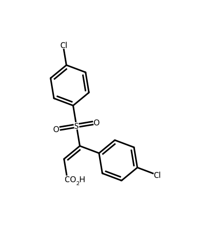 O=C(O)/C=C(\c1ccc(Cl)cc1)S(=O)(=O)c1ccc(Cl)cc1